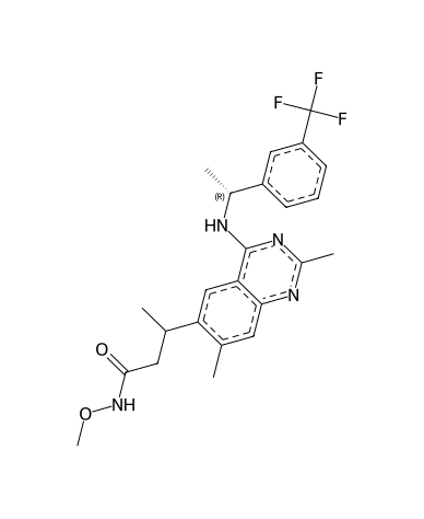 CONC(=O)CC(C)c1cc2c(N[C@H](C)c3cccc(C(F)(F)F)c3)nc(C)nc2cc1C